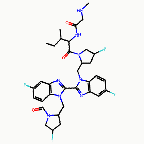 CCC(C)C(NC(=O)CNC)C(=O)N1CC(F)CC1Cn1c(-c2nc3cc(F)ccc3n2CC2CC(F)CN2C=O)nc2cc(F)ccc21